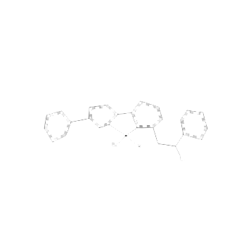 CCC(Cc1cccc2c1C(Br)(Br)c1cc(-c3ccccc3)ccc1-2)c1ccccc1